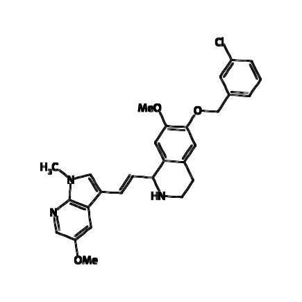 COc1cnc2c(c1)c(/C=C/C1NCCc3cc(OCc4cccc(Cl)c4)c(OC)cc31)cn2C